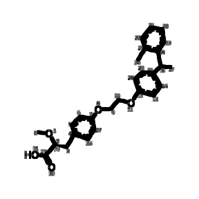 CO[C@@H](Cc1ccc(OCCOc2ccc(C(C)c3ccccc3C)cc2)cc1)C(=O)O